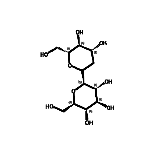 OC[C@H]1O[C@@H]([C]2C[C@@H](O)[C@H](O)[C@@H](CO)O2)[C@H](O)[C@@H](O)[C@H]1O